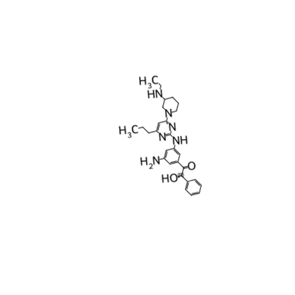 CCCc1cc(N2CCCC(NCC)C2)nc(Nc2cc(N)cc(C(=O)[C@H](O)c3ccccc3)c2)n1